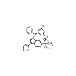 CC(C)(C)c1ccc2c(c1)c(N(c1ccccc1)c1cc(Cl)cc(Br)c1)cn2-c1ccccc1